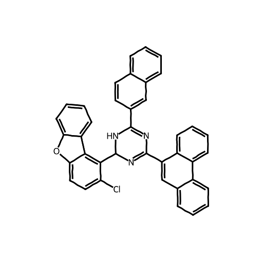 Clc1ccc2oc3ccccc3c2c1C1N=C(c2cc3ccccc3c3ccccc23)N=C(c2ccc3ccccc3c2)N1